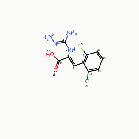 NN=C(N)NC(=Cc1c(F)cccc1Cl)C(=O)O